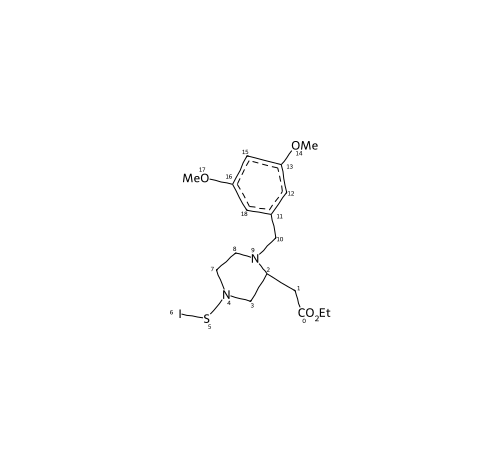 CCOC(=O)CC1CN(SI)CCN1Cc1cc(OC)cc(OC)c1